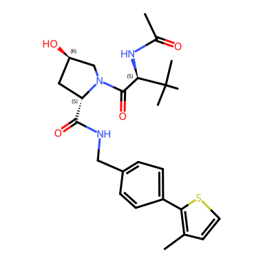 CC(=O)N[C@H](C(=O)N1C[C@H](O)C[C@H]1C(=O)NCc1ccc(-c2sccc2C)cc1)C(C)(C)C